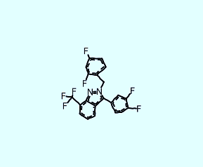 Fc1ccc(Cn2nc3c(C(F)(F)F)cccc3c2-c2ccc(F)c(F)c2)c(F)c1